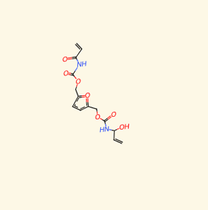 C=CC(=O)NC(=O)OCc1ccc(COC(=O)NC(O)C=C)o1